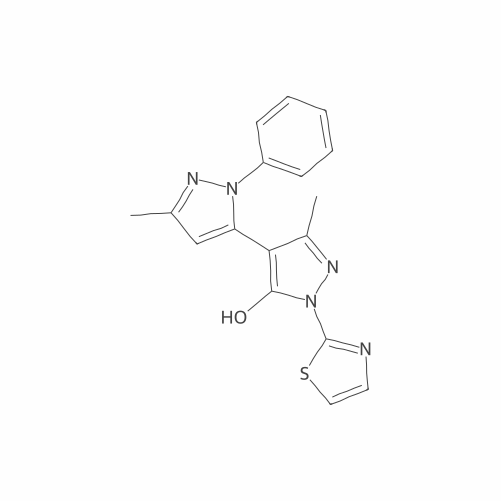 Cc1cc(-c2c(C)nn(-c3nccs3)c2O)n(-c2ccccc2)n1